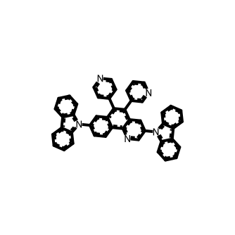 c1cncc(-c2c(-c3ccncc3)c3cc(-n4c5ccccc5c5ccccc54)ccc3c3ncc(-n4c5ccccc5c5ccccc54)cc23)c1